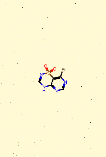 CCc1ncnc2c1S(=O)(=O)N=CN2